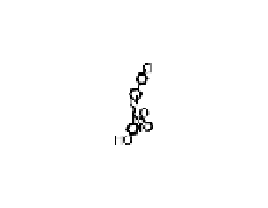 O=c1c2cccn2c2cc(O)ccc2n1CCCN1CCC(c2ccc(Cl)cc2)CC1